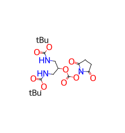 CC(C)(C)OC(=O)NCC(CNC(=O)OC(C)(C)C)OC(=O)ON1C(=O)CCC1=O